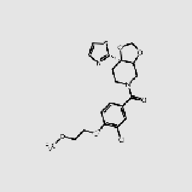 O=C(c1ccc(OCCOC(F)(F)F)c(Cl)c1)N1CC[C@@]2(c3nccs3)OCOC2C1